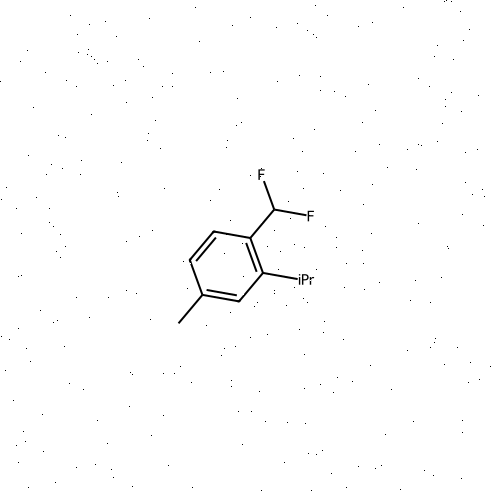 Cc1ccc(C(F)F)c(C(C)C)c1